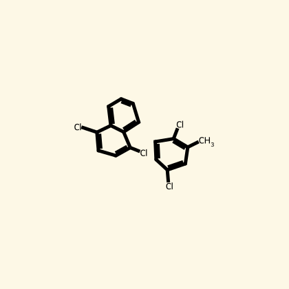 Cc1cc(Cl)ccc1Cl.Clc1ccc(Cl)c2ccccc12